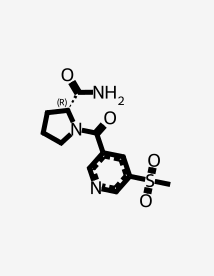 CS(=O)(=O)c1cncc(C(=O)N2CCC[C@@H]2C(N)=O)c1